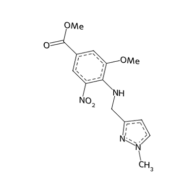 COC(=O)c1cc(OC)c(NCc2ccn(C)n2)c([N+](=O)[O-])c1